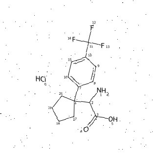 Cl.NC(C(=O)O)C1(c2ccc(C(F)(F)F)cc2)CCCC1